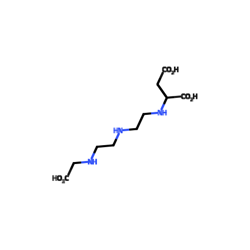 O=C(O)CNCCNCCNC(CC(=O)O)C(=O)O